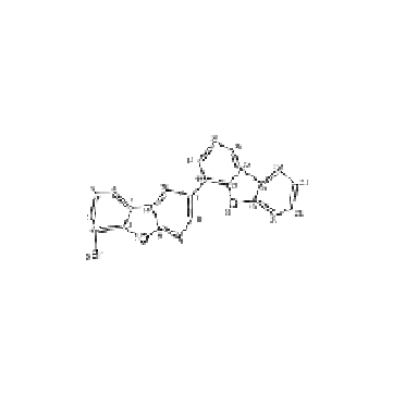 Brc1cccc2c1oc1ccc(-c3cccc4c3oc3ccccc34)cc12